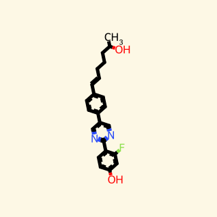 CC(O)CCC/C=C/c1ccc(-c2cnc(-c3ccc(O)cc3F)nc2)cc1